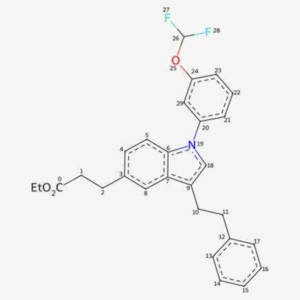 CCOC(=O)CCc1ccc2c(c1)c(CCc1ccccc1)cn2-c1cccc(OC(F)F)c1